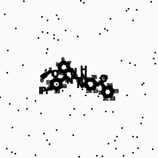 C#CCOc1cccc2nc(-c3nc4ccc(C(=O)c5ccccc5)cc4[nH]3)nc(-c3ccc(C(C)C)cc3)c12